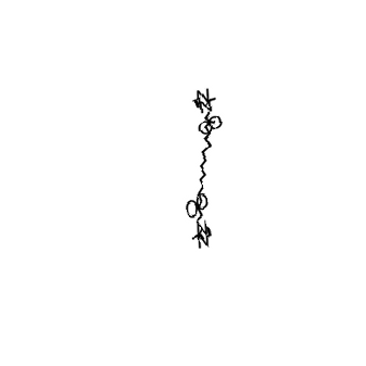 Cc1nccn1CCC(=O)OCCCCCCCCCCOC(=O)CCn1ccnc1C